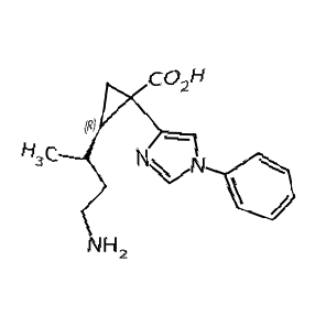 CC(CCN)[C@H]1CC1(C(=O)O)c1cn(-c2ccccc2)cn1